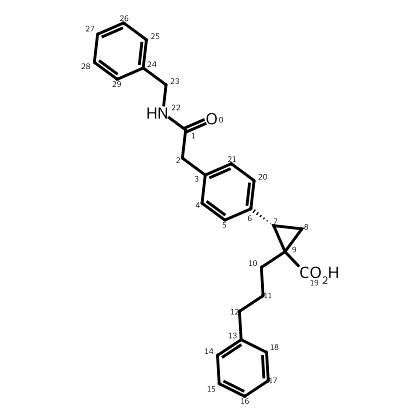 O=C(Cc1ccc([C@@H]2CC2(CCCc2ccccc2)C(=O)O)cc1)NCc1ccccc1